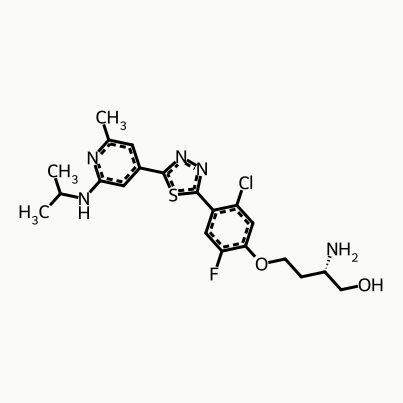 Cc1cc(-c2nnc(-c3cc(F)c(OCC[C@H](N)CO)cc3Cl)s2)cc(NC(C)C)n1